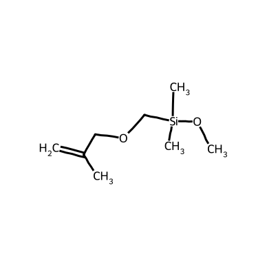 C=C(C)COC[Si](C)(C)OC